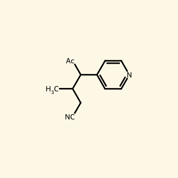 CC(=O)C(c1ccncc1)C(C)CC#N